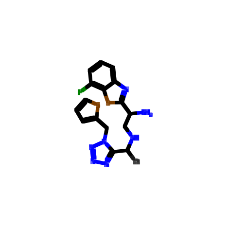 CCC(NCC(N)c1nc2cccc(F)c2s1)c1nnnn1Cc1cccs1